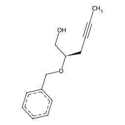 CC#CC[C@H](CO)OCc1ccccc1